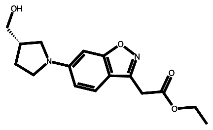 CCOC(=O)Cc1noc2cc(N3CC[C@H](CO)C3)ccc12